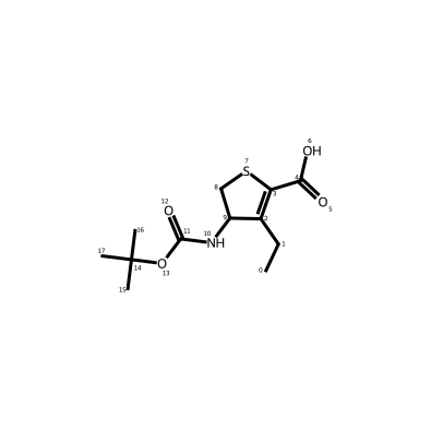 CCC1=C(C(=O)O)SCC1NC(=O)OC(C)(C)C